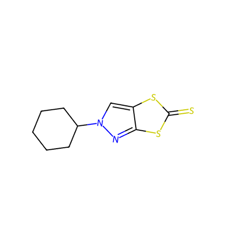 S=c1sc2cn(C3CCCCC3)nc2s1